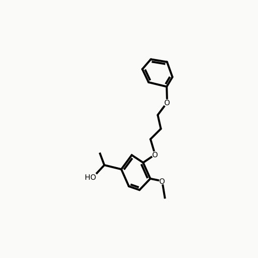 COc1ccc(C(C)O)cc1OCCCOc1ccccc1